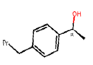 CC(C)Cc1ccc([C@H](C)O)cc1